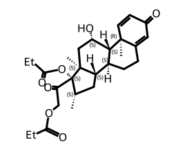 CCC(=O)OCC(=O)[C@]1(OC(=O)CC)[C@@H](C)C[C@H]2[C@@H]3CCC4=CC(=O)C=C[C@]4(C)[C@H]3[C@@H](O)C[C@@]21C